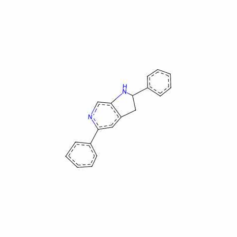 c1ccc(-c2cc3c(cn2)NC(c2ccccc2)C3)cc1